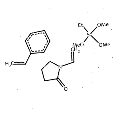 C=CN1CCCC1=O.C=Cc1ccccc1.CC[Si](OC)(OC)OC